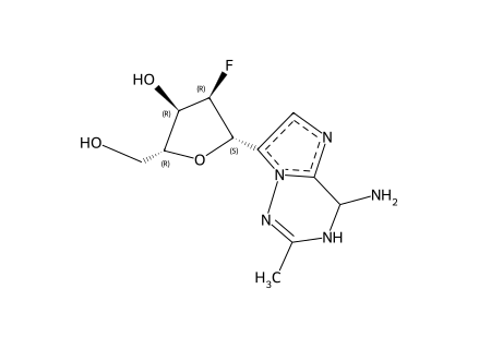 CC1=Nn2c([C@@H]3O[C@H](CO)[C@@H](O)[C@H]3F)cnc2C(N)N1